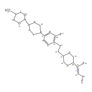 CC1COC(C2CCC(c3ccc(CCC4CCC(/C(F)=C/CF)CC4)c(F)c3)CC2)OC1